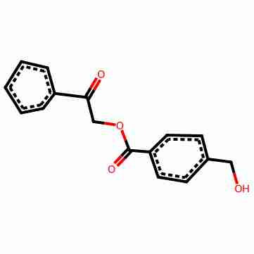 O=C(COC(=O)c1ccc(CO)cc1)c1ccccc1